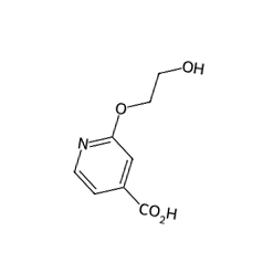 O=C(O)c1ccnc(OCCO)c1